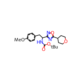 COc1ccc(CC(NC(=O)OC(C)(C)C)c2noc(C3CCOCC3)n2)cc1